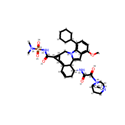 COc1ccc(C2CCCCC2)c2c1cc1n2CC2=C(C(=O)NS(=O)(=O)N(C)C)C2=C2C=CC[C@@H](NC(=O)C(=O)N3CCN4CCC3CC4)C21